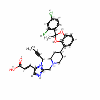 CC#CCn1c(/C=C/C(=O)O)cnc1CN1CCC(c2cccc3c2OC(C)(c2ccc(Cl)cc2F)O3)CC1